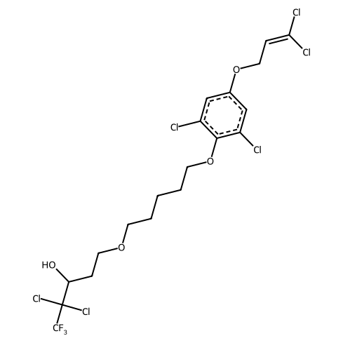 OC(CCOCCCCCOc1c(Cl)cc(OCC=C(Cl)Cl)cc1Cl)C(Cl)(Cl)C(F)(F)F